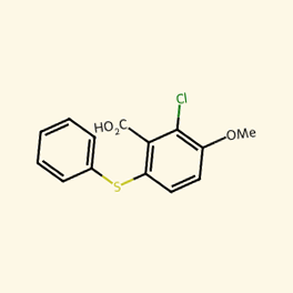 COc1ccc(Sc2ccccc2)c(C(=O)O)c1Cl